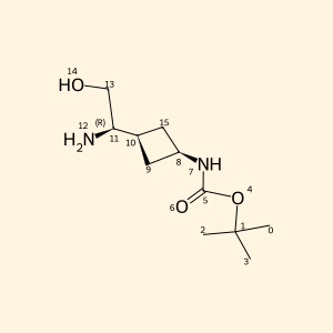 CC(C)(C)OC(=O)N[C@H]1C[C@@H]([C@@H](N)CO)C1